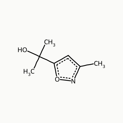 Cc1cc(C(C)(C)O)on1